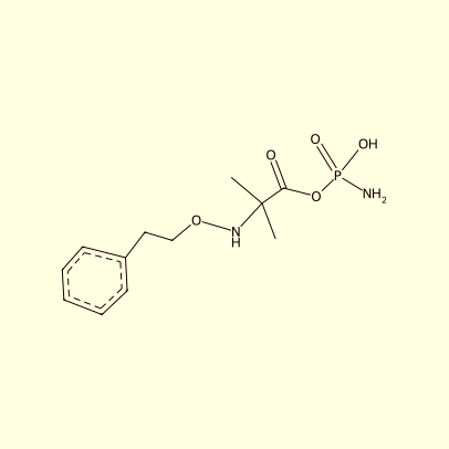 CC(C)(NOCCc1ccccc1)C(=O)OP(N)(=O)O